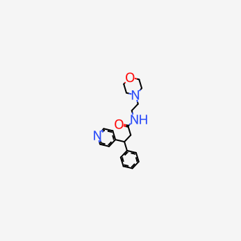 O=C(CC(c1ccccc1)c1ccncc1)NCCN1CCOCC1